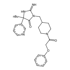 CCCCC1(c2cccnc2)NC(=N)N(CC2CCN(C(=O)COc3ccccc3)CC2)C1=O